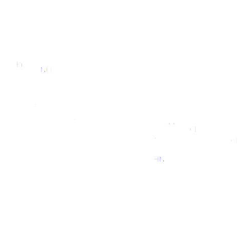 CC(C)NC(=O)COc1ccc(C(=O)Nc2cccc(Cl)c2Cl)cc1